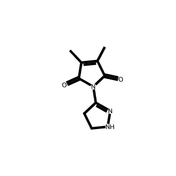 CC1=C(C)C(=O)N(C2=NNCC2)C1=O